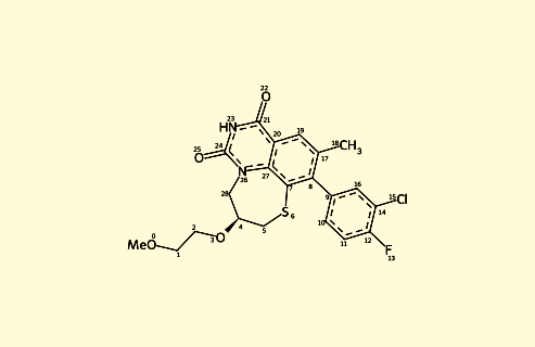 COCCO[C@@H]1CSc2c(-c3ccc(F)c(Cl)c3)c(C)cc3c(=O)[nH]c(=O)n(c23)C1